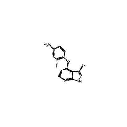 O=[N+]([O-])c1ccc(Oc2ccnc3[nH]cc(Br)c23)c(F)c1